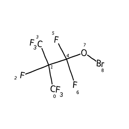 FC(F)(F)C(F)(C(F)(F)F)C(F)(F)OBr